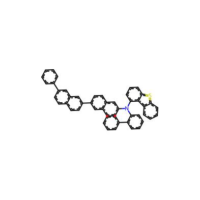 c1ccc(-c2ccc3ccc(-c4ccc5cc(N(c6ccccc6-c6ccccc6)c6cccc7sc8ccccc8c67)ccc5c4)cc3c2)cc1